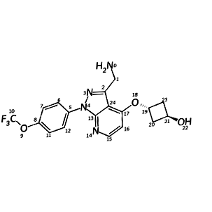 NCc1nn(-c2ccc(OC(F)(F)F)cc2)c2nccc(O[C@H]3C[C@H](O)C3)c12